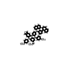 CC(C)(C)Oc1cc2c3c(c1)N(c1ccc(C(C)(C)C)cc1)c1cc4cocc4cc1B3c1ccc(N(c3cccc(-c4cccc5ccccc45)c3)c3cccc4ccccc34)cc1N2c1ccc(C(C)(C)C)cc1